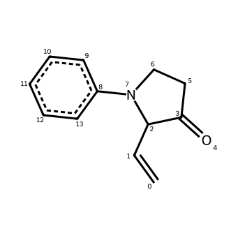 C=CC1C(=O)CCN1c1ccccc1